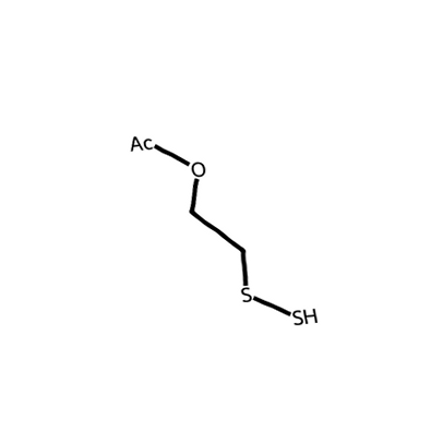 CC(=O)OCCSS